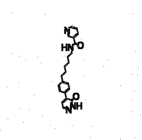 O=C(NCCCCCCc1ccc(-c2ccn[nH]c2=O)cc1)c1cccnc1